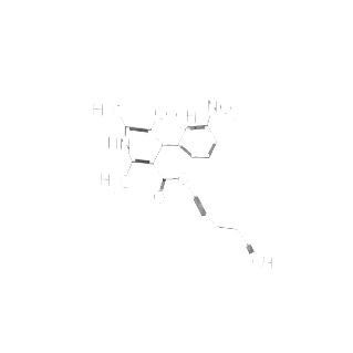 C#CCCC#COC(=O)C1=C(C)NC(C)=C(C(=O)O)C1c1cccc([N+](=O)[O-])c1